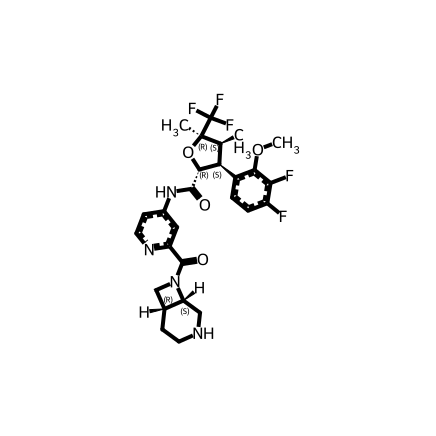 COc1c([C@H]2[C@H](C(=O)Nc3ccnc(C(=O)N4C[C@H]5CCNC[C@H]54)c3)O[C@@](C)(C(F)(F)F)[C@H]2C)ccc(F)c1F